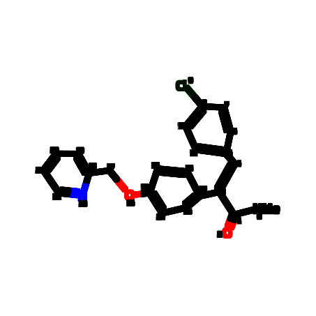 CNC(=O)/C(=C/c1ccc(Cl)cc1)c1ccc(OCc2ccccn2)cc1